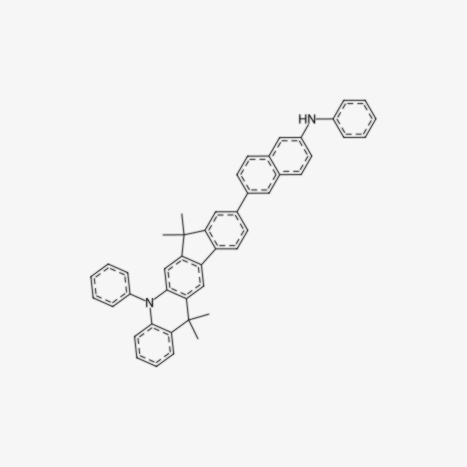 CC1(C)c2cc(-c3ccc4cc(Nc5ccccc5)ccc4c3)ccc2-c2cc3c(cc21)N(c1ccccc1)c1ccccc1C3(C)C